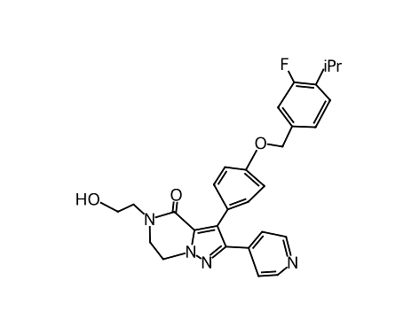 CC(C)c1ccc(COc2ccc(-c3c(-c4ccncc4)nn4c3C(=O)N(CCO)CC4)cc2)cc1F